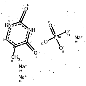 Cc1c[nH]c(=O)[nH]c1=O.O=P([O-])([O-])[O-].[Na+].[Na+].[Na+]